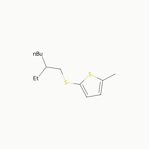 CCCCC(CC)CSc1ccc(C)s1